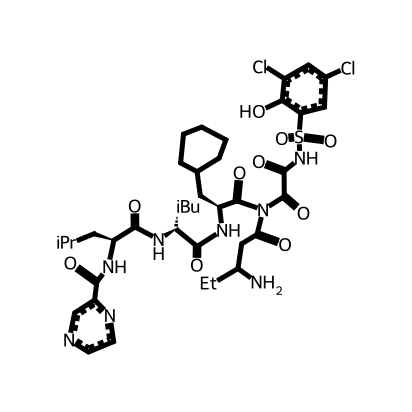 CCC(N)CC(=O)N(C(=O)C(=O)NS(=O)(=O)c1cc(Cl)cc(Cl)c1O)C(=O)[C@H](CC1CCCCC1)NC(=O)[C@@H](NC(=O)[C@H](CC(C)C)NC(=O)c1cnccn1)[C@@H](C)CC